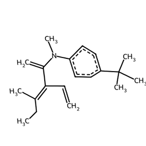 C=C/C(C(=C)N(C)c1ccc(C(C)(C)C)cc1)=C(/C)CC